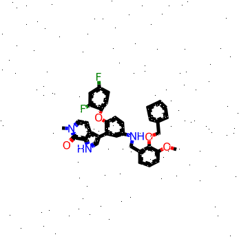 COc1cccc(CNc2ccc(Oc3ccc(F)cc3F)c(-c3c[nH]c4c(=O)n(C)ccc34)c2)c1OCc1ccccc1